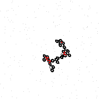 c1ccc(-c2ccccc2-c2ccccc2N(c2ccc(-c3ccccc3-c3ccccc3-n3c4ccccc4c4ccccc43)cc2)c2cccc(-c3cccc4c3oc3cc(-c5ccc6cc(-c7ccc(N(c8ccc(-c9ccccc9-c9ccccc9-n9c%10ccccc%10c%10ccccc%109)cc8)c8cccc(-c9cccc%10c9oc9ccccc9%10)c8)cc7)c7ccccc7c6c5)ccc34)c2)cc1